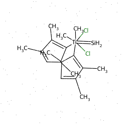 CC1=CC(C)[C]([Ti]([CH3])([CH3])(=[SiH2])([Cl])([Cl])[C]2=C(C)C(C)=CC2C)=C1C